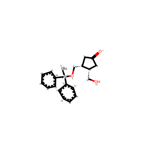 CC(C)(C)[Si](OC[C@@H]1CC(=O)C[C@@H]1CO)(c1ccccc1)c1ccccc1